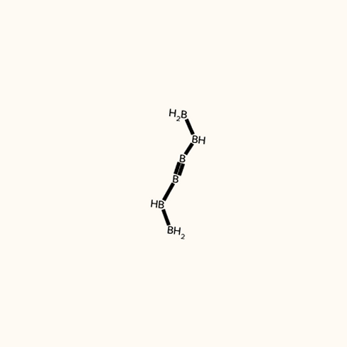 BBB=BBB